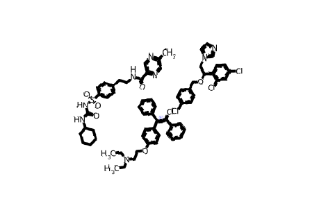 CCN(CC)CCOc1ccc(/C(=C(/Cl)c2ccccc2)c2ccccc2)cc1.Cc1cnc(C(=O)NCCc2ccc(S(=O)(=O)NC(=O)NC3CCCCC3)cc2)cn1.Clc1ccc(COC(Cn2ccnc2)c2ccc(Cl)cc2Cl)cc1